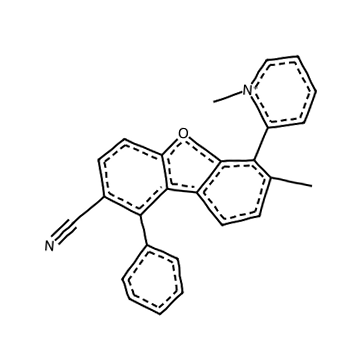 Cc1ccc2c(oc3ccc(C#N)c(-c4ccccc4)c32)c1-c1cccc[n+]1C